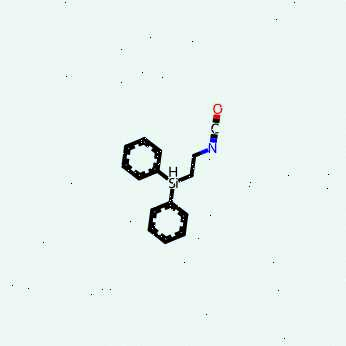 O=C=NCC[SiH](c1ccccc1)c1ccccc1